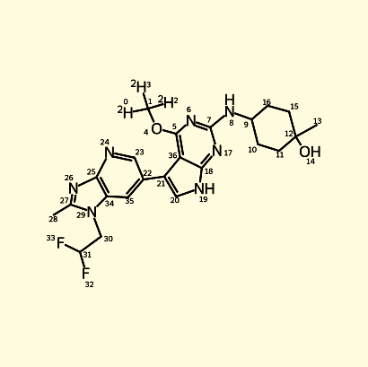 [2H]C([2H])([2H])Oc1nc(NC2CCC(C)(O)CC2)nc2[nH]cc(-c3cnc4nc(C)n(CC(F)F)c4c3)c12